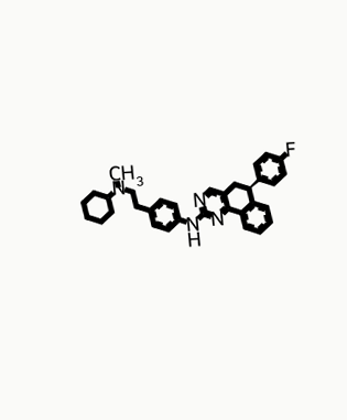 CN(CCc1ccc(Nc2ncc3c(n2)-c2ccccc2[C@H](c2ccc(F)cc2)C3)cc1)C1CCCCC1